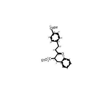 CCOC(=O)C(Cc1ccccc1)C(=O)CCc1ccc(OC)cc1